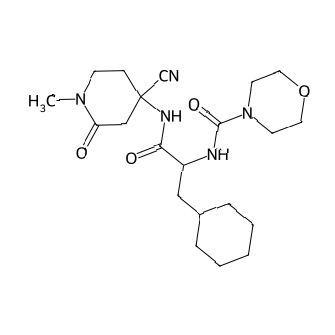 CN1CCC(C#N)(NC(=O)C(CC2CCCCC2)NC(=O)N2CCOCC2)CC1=O